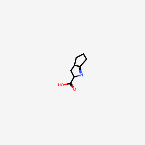 O=C(O)C1CC2CCCC2=N1